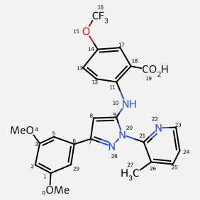 COc1cc(OC)cc(-c2cc(Nc3ccc(OC(F)(F)F)cc3C(=O)O)n(-c3ncccc3C)n2)c1